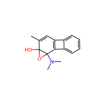 CC1=CC2=C(c3ccccc32)C2(N(C)C)OC12O